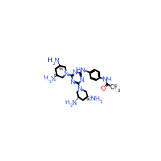 N[C@@H]1C[C@H](N)CN(c2nc(Nc3ccc(NC(=O)C(F)(F)F)cc3)nc(N3C[C@H](N)C[C@H](N)C3)n2)C1